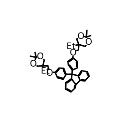 CCC1(COc2ccc(C3(c4ccc(OCC5(CC)COC(C)(C)OC5)cc4)c4ccccc4-c4ccccc43)cc2)COC(C)(C)OC1